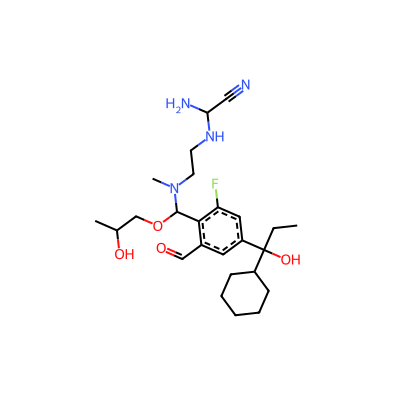 CCC(O)(c1cc(F)c(C(OCC(C)O)N(C)CCNC(N)C#N)c(C=O)c1)C1CCCCC1